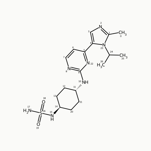 Cc1ncc(-c2ccnc(N[C@H]3CC[C@H](NS(N)(=O)=O)CC3)n2)n1C(C)C